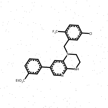 CCOC(=O)c1cccc(-c2cnc3c(c2)N(Cc2cc(Cl)ccc2C(F)(F)F)CCN3)c1